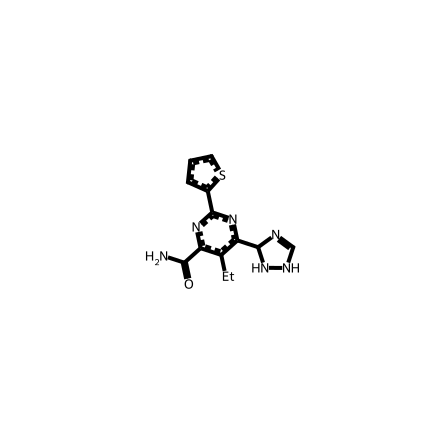 CCc1c(C(N)=O)nc(-c2cccs2)nc1C1N=CNN1